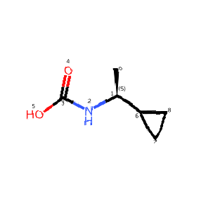 C[C@H](NC(=O)O)C1CC1